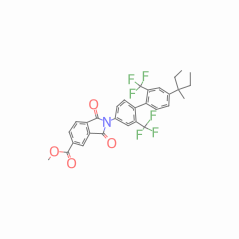 CCC(C)(CC)c1ccc(-c2ccc(N3C(=O)c4ccc(C(=O)OC)cc4C3=O)cc2C(F)(F)F)c(C(F)(F)F)c1